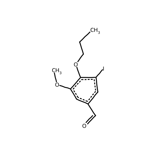 CCCOc1c(I)cc(C=O)cc1OC